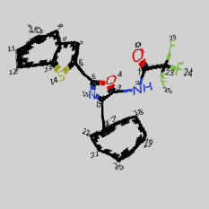 O=C(Nc1oc(-c2cc3ccccc3s2)nc1-c1ccccc1)C(F)(F)F